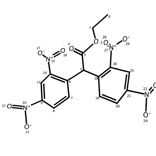 CCOC(=O)C(c1ccc([N+](=O)[O-])cc1[N+](=O)[O-])c1ccc([N+](=O)[O-])cc1[N+](=O)[O-]